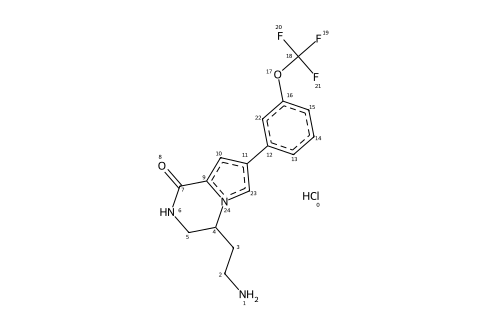 Cl.NCCC1CNC(=O)c2cc(-c3cccc(OC(F)(F)F)c3)cn21